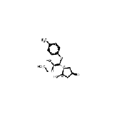 CC(=O)O.CCC(O)=C(Oc1ccc(C(F)(F)F)cc1)[C@@H]1CC(=O)C[C@H]1O